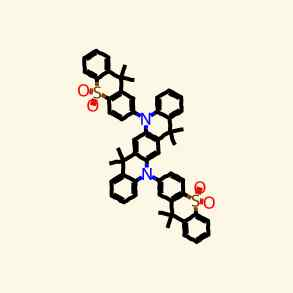 CC1(C)c2ccccc2N(c2ccc3c(c2)C(C)(C)c2ccccc2S3(=O)=O)c2cc3c(cc21)N(c1ccc2c(c1)C(C)(C)c1ccccc1S2(=O)=O)c1ccccc1C3(C)C